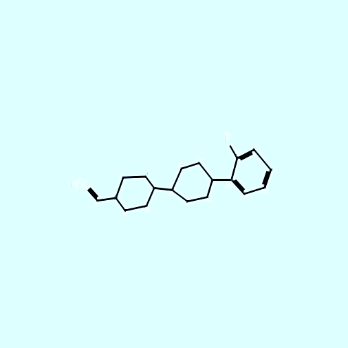 C=CC1CCC(C2CCC(c3ccccc3F)CC2)CC1